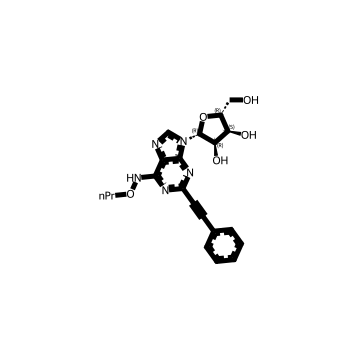 CCCONc1nc(C#Cc2ccccc2)nc2c1ncn2[C@@H]1O[C@H](CO)[C@@H](O)[C@H]1O